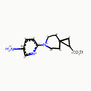 CCOC(=O)C1CC12CCN(c1ccc(N)cn1)CC2